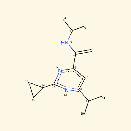 C=C(NC(C)C)c1cc(C(C)C)nc(C2CC2)n1